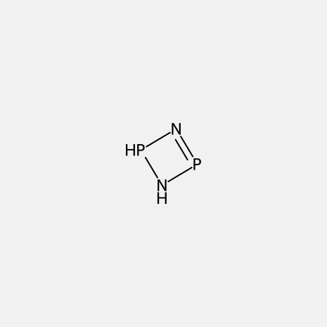 n1p[nH][pH]1